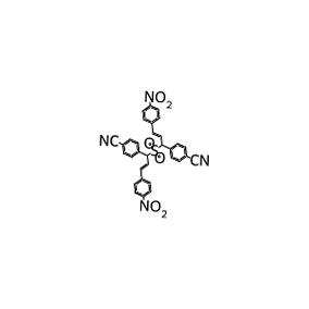 N#Cc1ccc(C(C=Cc2ccc([N+](=O)[O-])cc2)S(=O)(=O)C(C=Cc2ccc([N+](=O)[O-])cc2)c2ccc(C#N)cc2)cc1